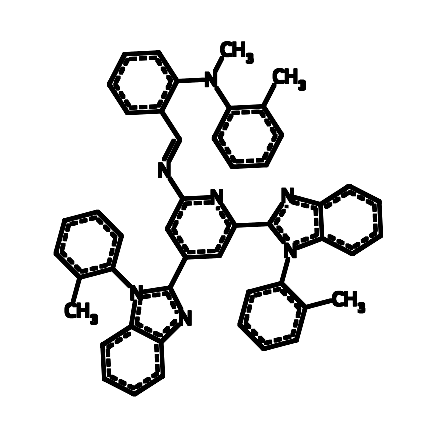 Cc1ccccc1N(C)c1ccccc1/C=N/c1cc(-c2nc3ccccc3n2-c2ccccc2C)cc(-c2nc3ccccc3n2-c2ccccc2C)n1